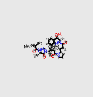 CC[C@H](C)[C@@H]([C@@H](CC(=O)N1CCC[C@H]1[C@H](OC)[C@@H](C)C(=O)N[C@@H](C)[C@H](O)c1ccccc1)OC)N(C)C(=O)[C@@H](NC(=O)[C@@H](NC)C(C)C)C(C)C